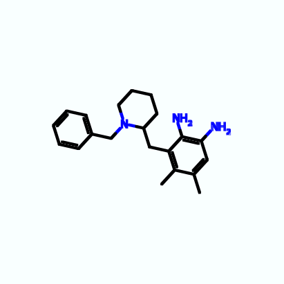 Cc1cc(N)c(N)c(CC2CCCCN2Cc2ccccc2)c1C